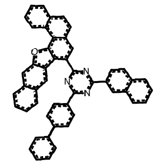 c1ccc(-c2ccc(-c3nc(-c4ccc5ccccc5c4)nc(-c4cc5ccc6ccccc6c5c5oc6cc7ccccc7cc6c45)n3)cc2)cc1